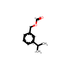 CC(C)c1cccc(CO[C]=O)c1